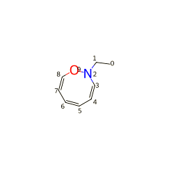 CCn1cccccco1